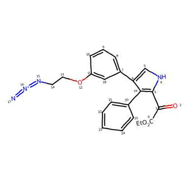 CCOC(=O)C(=O)c1[nH]cc(-c2cccc(OCCN=[N+]=[N-])c2)c1-c1ccccc1